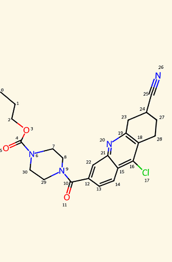 CCCOC(=O)N1CCN(C(=O)c2ccc3c(Cl)c4c(nc3c2)CC(C#N)CC4)CC1